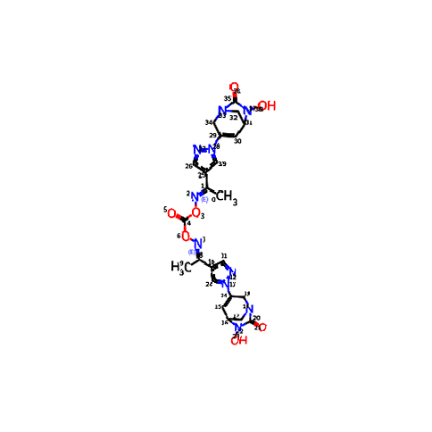 C/C(=N\OC(=O)O/N=C(\C)c1cnn(C2=CC3CN(C2)C(=O)N3O)c1)c1cnn(C2=CC3CN(C2)C(=O)N3O)c1